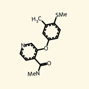 CNC(=O)c1ccncc1Oc1ccc(SC)c(C)c1